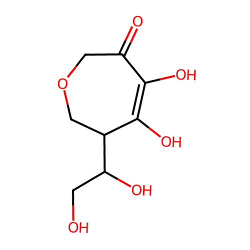 O=C1COCC(C(O)CO)C(O)=C1O